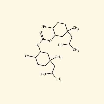 CC(O)CC1(C)CCC(C(C)C)C(OC(=O)OC2CC(C)(CC(C)O)CCC2C(C)C)C1